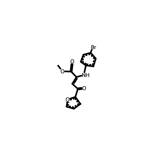 COC(=O)/C(=C/C(=O)c1ccco1)Nc1ccc(Br)cc1